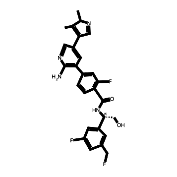 CC1=C(c2cnc(N)c(-c3ccc(C(=O)N[C@H](CO)c4cc(F)cc(CF)c4)c(F)c3)c2)C=NC1C